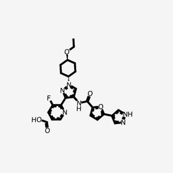 CCO[C@H]1CC[C@H](n2cc(NC(=O)c3ccc(-c4cn[nH]c4)o3)c(-c3ncccc3F)n2)CC1.O=CO